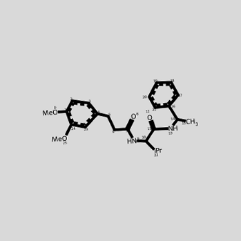 COc1ccc(CCC(=O)NC(C(=O)NC(C)c2ccccc2)C(C)C)cc1OC